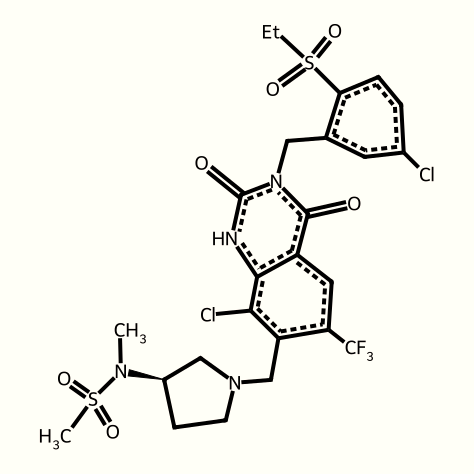 CCS(=O)(=O)c1ccc(Cl)cc1Cn1c(=O)[nH]c2c(Cl)c(CN3CC[C@@H](N(C)S(C)(=O)=O)C3)c(C(F)(F)F)cc2c1=O